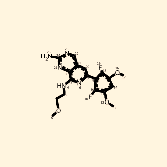 COCCNc1nc(-c2c(F)c(OC)cc(OC)c2F)cc2cnc(N)nc12